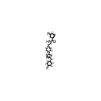 O=C(NCCN1CCN(c2nc(Cc3ccc(F)cc3)ns2)CC1)c1cccc(F)c1